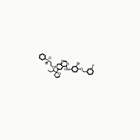 CCC(OCCS(=O)(=O)c1ccccc1)C1(c2cc3c(Nc4ccc(OCc5cccc(F)c5)c(Br)c4)ncnc3cn2)CC=CO1